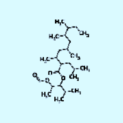 CCC(C)C(C)CC(C)CC(C)C(CC(C)C)C(=O)OC(C(C)C)C(C)OC=O